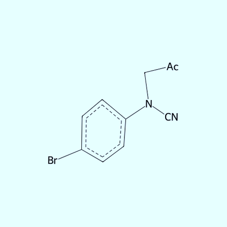 CC(=O)CN(C#N)c1ccc(Br)cc1